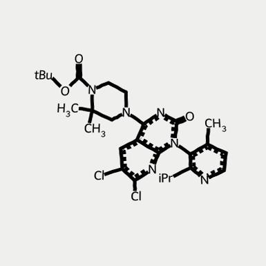 Cc1ccnc(C(C)C)c1-n1c(=O)nc(N2CCN(C(=O)OC(C)(C)C)C(C)(C)C2)c2cc(Cl)c(Cl)nc21